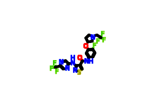 O=C(Nc1ccc(F)c(O[C@H]2CCN(CC(F)(F)F)C2)c1)c1csnc1Nc1cnc(C(F)(F)F)cn1